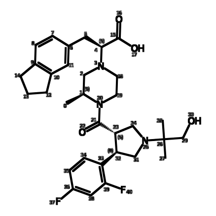 C[C@H]1CN([C@@H](Cc2ccc3c(c2)CCC3)C(=O)O)CCN1C(=O)[C@@H]1CN(C(C)(C)CO)C[C@H]1c1ccc(F)cc1F